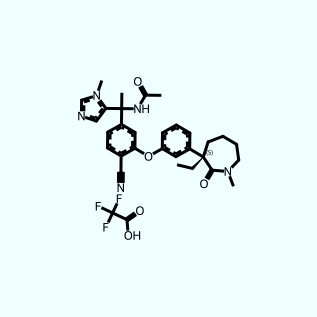 CC[C@@]1(c2cccc(Oc3cc(C(C)(NC(C)=O)c4cncn4C)ccc3C#N)c2)CCCCN(C)C1=O.O=C(O)C(F)(F)F